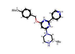 COc1ccc(COc2cc(N3CCN[C@@H](C(C)(C)C)C3)nc(-c3ccncc3)n2)cc1